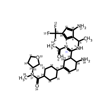 C=C(C)/N=C(/NC(C)C1=C=C(C(F)(F)F)C=C1N)C1CC(C2CCC(C(=O)N(C)[C@H]3CCOC3)CC2)=CCC1N